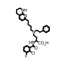 O=C(NC(CCN(CCCCc1ccc2c(n1)NCCC2)CCc1ccccc1)C(=O)O)c1cccc(F)c1Cl